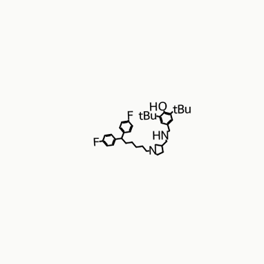 CC(C)(C)c1cc(CNCC2CCN(CCCCCC(c3ccc(F)cc3)c3ccc(F)cc3)C2)cc(C(C)(C)C)c1O